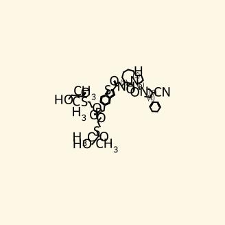 CC(C)(CO)C(=O)SCCOP(=O)(Cc1ccc2sc(C(=O)N[C@H]3CCCC[C@H]4CC[C@@H](C(=O)N5C[C@@H](C#N)[C@H](C6=CCCC=C6)C5)N4C3=O)cc2c1)OCCSC(=O)C(C)(C)CO